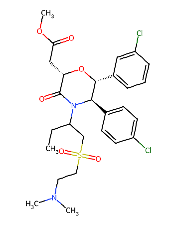 CCC(CS(=O)(=O)CCN(C)C)N1C(=O)[C@H](CC(=O)OC)O[C@H](c2cccc(Cl)c2)[C@H]1c1ccc(Cl)cc1